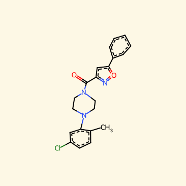 Cc1ccc(Cl)cc1N1CCN(C(=O)c2cc(-c3ccccc3)on2)CC1